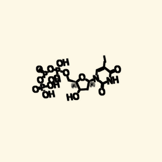 O=c1[nH]c(=O)n([C@H]2CC(O)[C@@H](COP(=O)(O)OP(=O)(O)OP(=O)(O)O)O2)cc1I